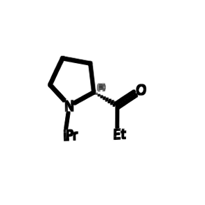 CCC(=O)[C@H]1CCCN1C(C)C